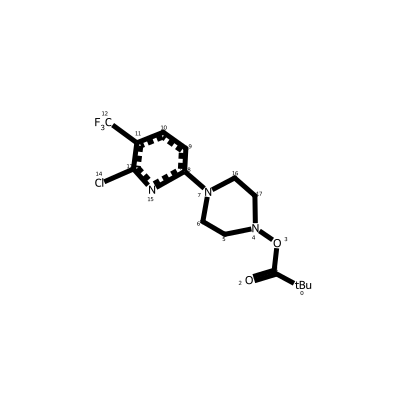 CC(C)(C)C(=O)ON1CCN(c2ccc(C(F)(F)F)c(Cl)n2)CC1